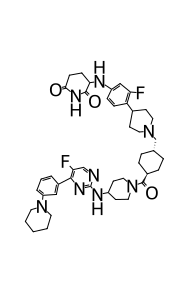 O=C1CCC(Nc2ccc(C3CCN(C[C@H]4CC[C@H](C(=O)N5CCC(Nc6ncc(F)c(-c7cccc(N8CCCCC8)c7)n6)CC5)CC4)CC3)c(F)c2)C(=O)N1